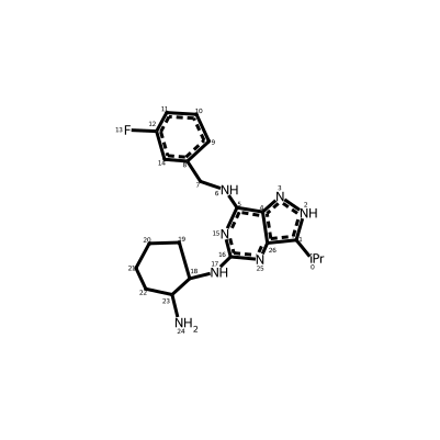 CC(C)c1[nH]nc2c(NCc3cccc(F)c3)nc(NC3CCCCC3N)nc12